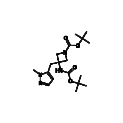 Cn1nccc1CC1(NC(=O)OC(C)(C)C)CN(C(=O)OC(C)(C)C)C1